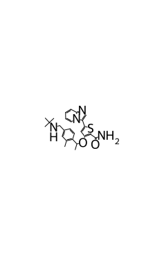 Cc1cc(CNC(C)(C)C)ccc1C(C)Oc1cc(-c2cnc3ccccn23)sc1C(N)=O